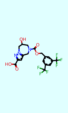 O=C(O)c1cc2n(n1)CC(O)CN(C(=O)OCc1cc(C(F)(F)F)cc(C(F)(F)F)c1)C2